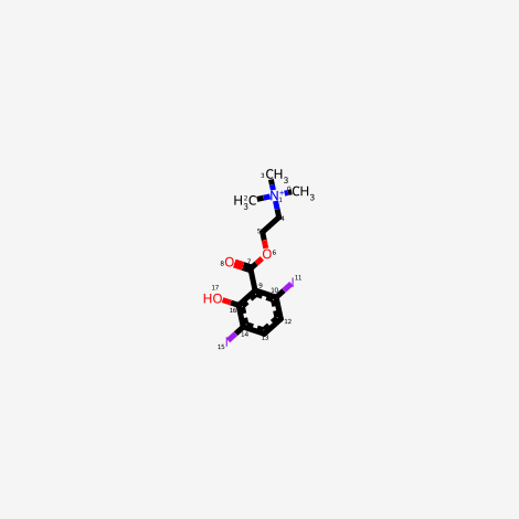 C[N+](C)(C)CCOC(=O)c1c(I)ccc(I)c1O